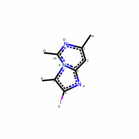 Cc1cc2nc(I)c(C)n2c(C)n1